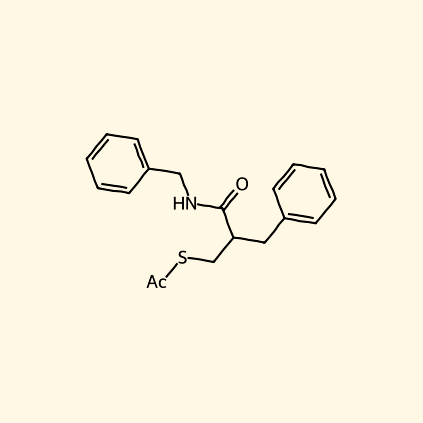 CC(=O)SCC(Cc1ccccc1)C(=O)NCc1ccccc1